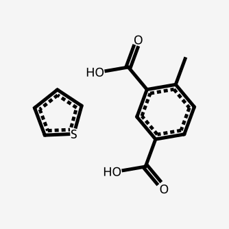 Cc1ccc(C(=O)O)cc1C(=O)O.c1ccsc1